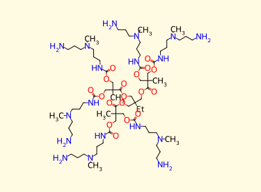 CCC(COC(=O)C(C)(COC(=O)NCCCN(C)CCCN)COC(=O)NCCCN(C)CCCN)(COC(=O)C(C)(COC(=O)NCCCN(C)CCCN)COC(=O)NCCCN(C)CCCN)COC(=O)C(C)(COC(=O)NCCCN(C)CCCN)COC(=O)NCCCN(C)CCCN